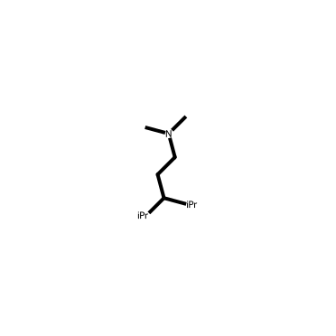 CC(C)C(CCN(C)C)C(C)C